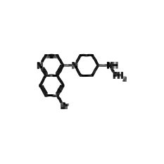 PNC1CCN(c2ccnc3ccc(Br)cc23)CC1